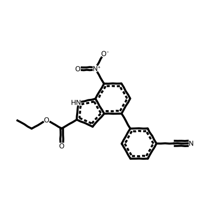 CCOC(=O)c1cc2c(-c3cccc(C#N)c3)ccc([N+](=O)[O-])c2[nH]1